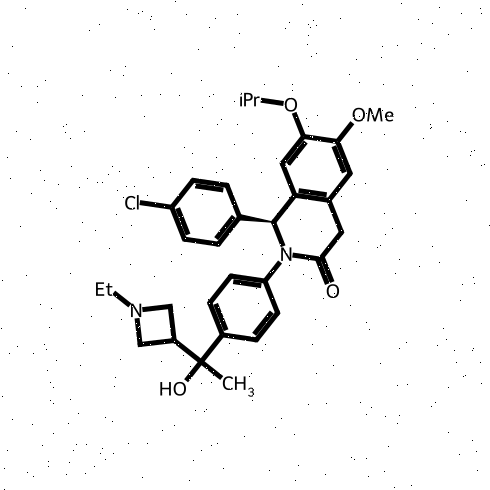 CCN1CC(C(C)(O)c2ccc(N3C(=O)Cc4cc(OC)c(OC(C)C)cc4[C@@H]3c3ccc(Cl)cc3)cc2)C1